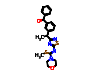 CSC(=Nc1nc(C(C)c2cccc(C(=O)c3ccccc3)c2)ns1)N1CCOCC1